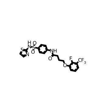 O=C(CCCOc1cccc(C(F)(F)F)c1F)Nc1ccc(S(=O)(=O)Nc2nccs2)cc1